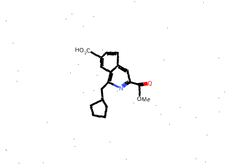 COC(=O)c1cc2ccc(C(=O)O)cc2c(CC2CCCC2)n1